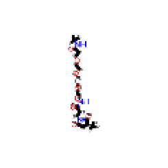 CC(C)(C)NC(=O)CCOCCOCCOCCONC(=O)CCN1C(=O)C[C@H](C(C)(C)C)C1=O